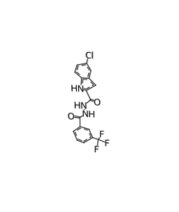 O=C(NNC(=O)c1cc2cc(Cl)ccc2[nH]1)c1cccc(C(F)(F)F)c1